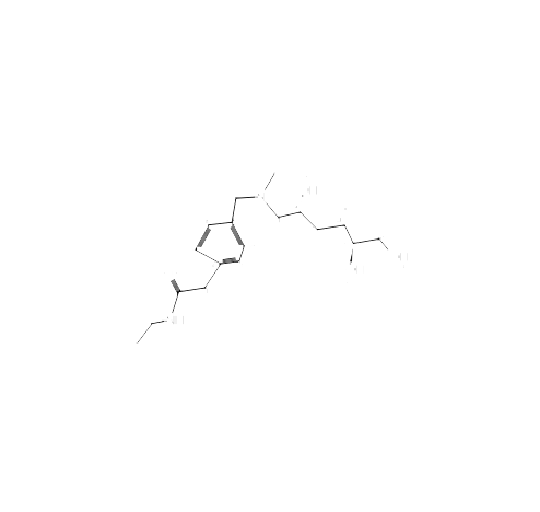 CCNC(=O)Cc1ccc(CN(C)C[C@H](O)[C@@H](O)[C@H](O)[C@H](O)CO)cc1